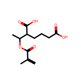 C=C(C)C(=O)OC(C)C(CCCC(=O)O)C(=O)O